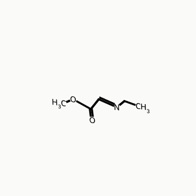 CC/N=C/C(=O)OC